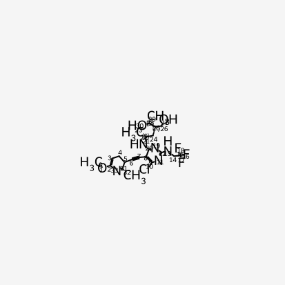 COC1=CCC(C#Cc2c(Cl)nc(NCC(F)(F)F)nc2N[C@@H](C)C[C@H](CO)[C@H](C)O)C(C)=N1